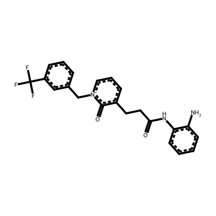 Nc1ccccc1NC(=O)CCc1cccn(Cc2cccc(C(F)(F)F)c2)c1=O